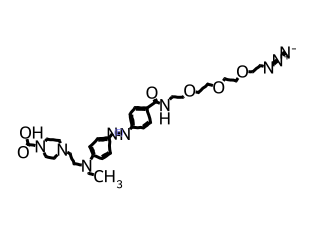 CCN(CCN1CCN(C(=O)O)CC1)c1ccc(/N=N/c2ccc(C(=O)NCCOCCOCCOCCN=[N+]=[N-])cc2)cc1